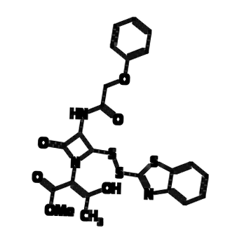 COC(=O)C(=C(C)O)N1C(=O)C(NC(=O)COc2ccccc2)C1SSc1nc2ccccc2s1